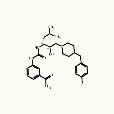 CC(=O)c1cccc(NC(=O)N[C@H](CC(C)C)[C@H](O)CN2CCC(Cc3ccc(F)cc3)CC2)c1